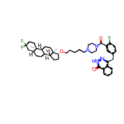 C[C@@]12CCC(F)(F)C[C@H]1CC[C@H]1[C@H]2CC[C@]2(C)[C@@H]1CC[C@H]2OCCCCCN1CCN(C(=O)c2cc(Cc3n[nH]c(=O)c4ccccc34)ccc2F)CC1